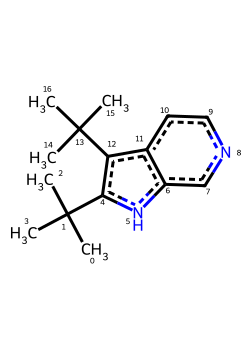 CC(C)(C)c1[nH]c2cnccc2c1C(C)(C)C